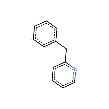 [c]1cccc(Cc2ccccn2)c1